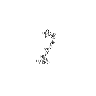 CC(C)(C)OC(=O)NCCOc1cncc(-c2cccc(CNCCC3CN(c4ccc5c(n4)NC(=O)CO5)C(=O)O3)c2)n1